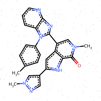 Cc1ccc(-n2c(-c3cn(C)c(=O)c4[nH]c(-c5cnn(C)c5)cc34)nc3ncccc32)cc1